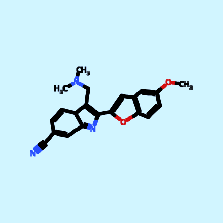 COc1ccc2oc(C3=C(CN(C)C)C4C=CC(C#N)=CC4=N3)cc2c1